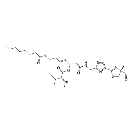 CCCCCCCC(=O)SCC/C=C/[C@H](CC(=O)NCc1nc(C2=N[C@](C)(C=O)CS2)cs1)OC(=O)[C@@H](NC)C(C)C